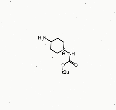 CC(C)(C)OC(=O)N[SH]1CCC(N)CC1